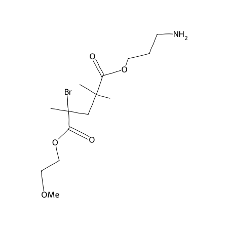 COCCOC(=O)C(C)(Br)CC(C)(C)C(=O)OCCCN